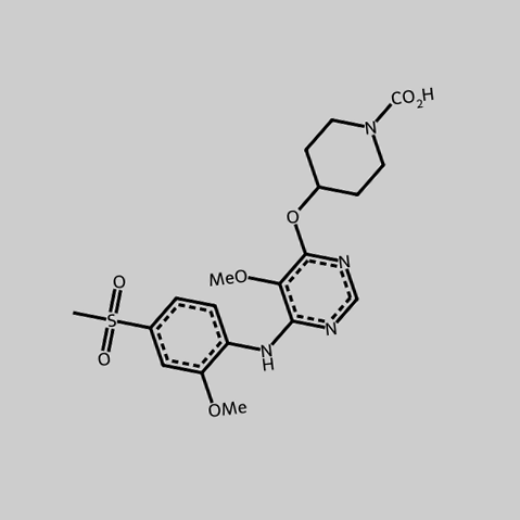 COc1cc(S(C)(=O)=O)ccc1Nc1ncnc(OC2CCN(C(=O)O)CC2)c1OC